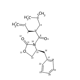 C=CC[C@@H](CC(C)C)C(=O)N1C(=O)OC[C@@H]1Cc1ccccc1